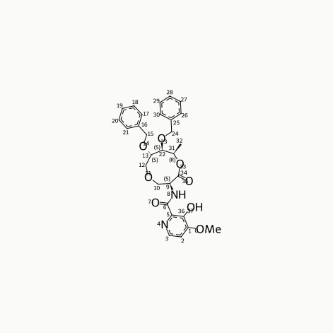 COc1ccnc(C(=O)N[C@H]2COC[C@H](OCc3ccccc3)[C@@H](OCc3ccccc3)[C@@H](C)OC2=O)c1O